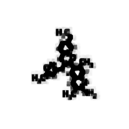 CCc1ccc(CN(Cc2cc(C)on2)C(=O)c2cc3cc(C)c(N)nc3cc2C)nc1